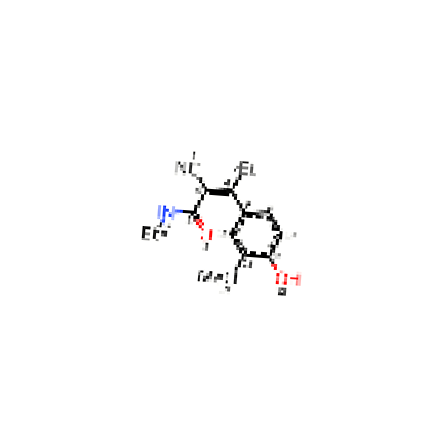 CCNC(=O)C(C#N)=C(CC)c1ccc(O)c(OC)c1